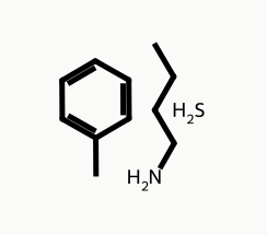 CCCCN.Cc1ccccc1.S